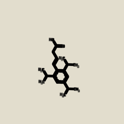 CC(C)c1cc(C(C)C)c(C=CCC(=O)O)c(C(C)C)c1